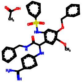 CC(=O)O.COc1cc(C(Nc2ccc(C(=N)N)cc2)C(=O)NCc2ccccc2)c(NS(=O)(=O)c2ccccc2)cc1OCc1ccccc1